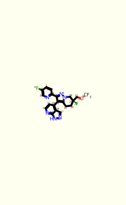 Fc1ccc(-c2nn3c(c2-c2ccnc4[nH]ncc24)CC[C@@](F)(COC(F)(F)F)C3)nc1